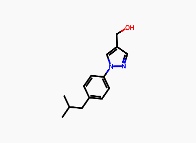 CC(C)Cc1ccc(-n2cc(CO)cn2)cc1